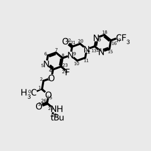 C[C@@H](COc1nccc(N2CCN(c3ncc(C(F)(F)F)cn3)CC2=O)c1F)OC(=O)NC(C)(C)C